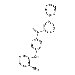 Nc1ccccc1Nc1ccc(C(=O)c2cccc(-c3ccccc3)c2)cc1